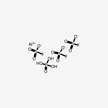 O=P(O)(O)O.O=S(=O)([O-])F.O=S(=O)([O-])F.O=S(=O)([O-])F.[Al+3]